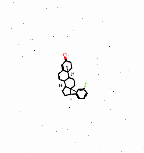 C[C@]12CCC(=O)C=C1CCC1[C@@H]2CC[C@@]2(C)[C@H]1CC[C@]2(C)c1cccc(F)c1